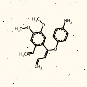 C=C/C=C(/Oc1ccc(N)cc1)c1cc(OC)c(OC)cc1C=C